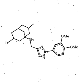 CCC1CC2CC(C)CC(NCc3nc(-c4ccc(OC)c(OC)c4)no3)(C1)C2